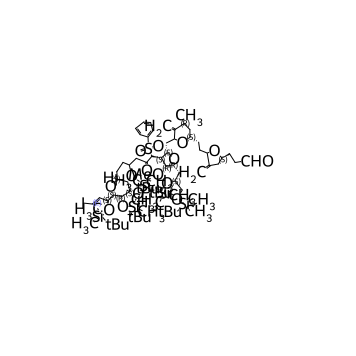 C=C1C[C@H](CCC=O)OC1CC[C@H]1C[C@@H](C)C(=C)C(C[C@@H]2O[C@H](C[C@@H](CO[Si](C)(C)C(C)(C)C)O[Si](C)(C)C(C)(C)C)[C@H](OC)[C@H]2C(C(=O)CC2CC[C@@H]3O[C@@H]([C@H](/C=C/I)O[Si](C)(C)C(C)(C)C)[C@@H](O[Si](C)(C)C(C)(C)C)[C@@H](O[Si](C)(C)C(C)(C)C)C3O2)S(=O)(=O)c2ccccc2)O1